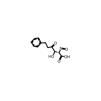 O=N[C@@H](C(=O)O)C(O)C(=O)CCc1ccccc1